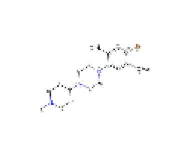 COc1cc(N2CCN(C3CCN(C)CC3)CC2)c([N+](=O)[O-])cc1Br